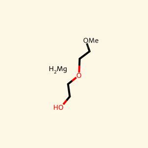 COCCOCCO.[MgH2]